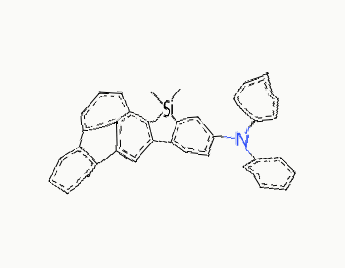 C[Si]1(C)c2cc(N(c3ccccc3)c3ccccc3)ccc2-c2cc3c4c(cccc4c21)-c1ccccc1-3